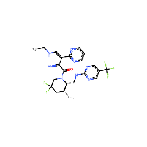 CCN/C=C(\C(=N)C(=O)N1CC(F)(F)C[C@@H](C)[C@H]1CNc1ncc(C(F)(F)F)cn1)c1ncccn1